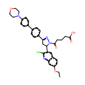 CCOc1ccc2cc(C3CC(c4ccc(-c5ccc(N6CCOCC6)cc5)cc4)=NN3C(=O)CCCC(=O)O)c(Cl)nc2c1